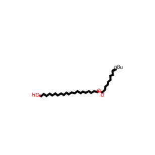 CCCCC=CCCCCCCCC(=O)OCCCCCCCCCCCCCCCCCCCCCO